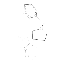 CC(C)(NC(=O)O)[C@H]1CCN(Cc2ccccc2)C1